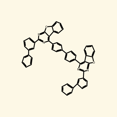 c1ccc(-c2cccc(-c3nc(-c4ccc(-c5ccc(-c6nc(-c7cccc(-c8ccccc8)c7)nc7oc8ccccc8c67)cc5)cc4)c4c(n3)oc3ccccc34)c2)cc1